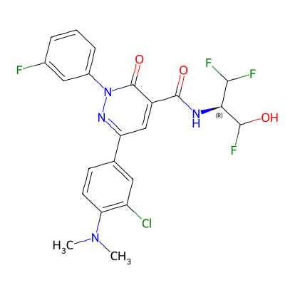 CN(C)c1ccc(-c2cc(C(=O)N[C@H](C(O)F)C(F)F)c(=O)n(-c3cccc(F)c3)n2)cc1Cl